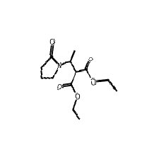 CCOC(=O)C(C(=O)OCC)C(C)N1CCCC1=O